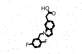 O=C(O)Cc1ccc2ccn(Cc3cc(F)ccc3F)c2c1